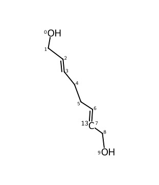 OCC=CCCC=[13CH]CO